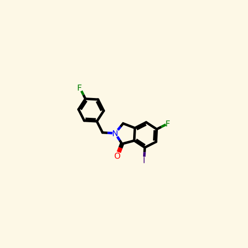 O=C1c2c(I)cc(F)cc2CN1Cc1ccc(F)cc1